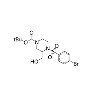 CC(C)(C)OC(=O)N1CCN(S(=O)(=O)c2ccc(Br)cc2)C(CO)C1